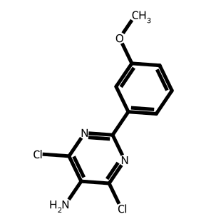 COc1cccc(-c2nc(Cl)c(N)c(Cl)n2)c1